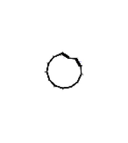 [CH]1CCCC/C=C\C=C\CCCC1